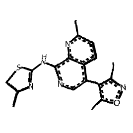 Cc1ccc2c(-c3c(C)noc3C)cnc(NC3=NC(C)CS3)c2n1